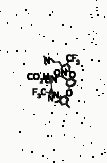 Cc1cc(C)c2c(c1)Oc1cccc(c1)[C@H](n1cc(CCCN(C)C)c(C(F)(F)F)cc1=O)C(=O)N[C@H](CC(=O)O)c1cn-2nc1C(F)(F)F